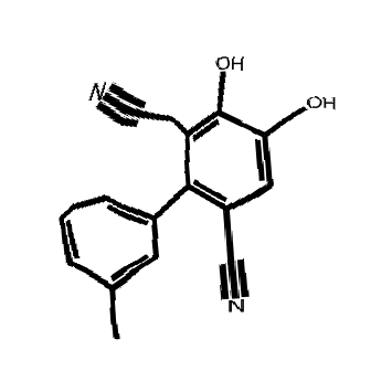 Cc1cccc(-c2c(C#N)cc(O)c(O)c2C#N)c1